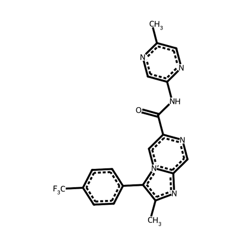 Cc1cnc(NC(=O)c2cn3c(-c4ccc(C(F)(F)F)cc4)c(C)nc3cn2)cn1